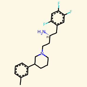 Cc1cccc(C2CCCN(CC[C@H](N)Cc3cc(F)c(F)cc3F)C2)c1